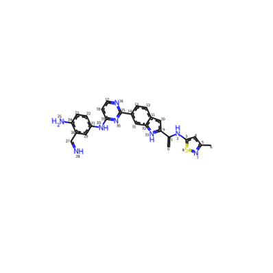 C=C(Nc1cc(C)ns1)c1cc2ccc(-c3nccc(Nc4ccc(N)c(C=N)c4)n3)cc2[nH]1